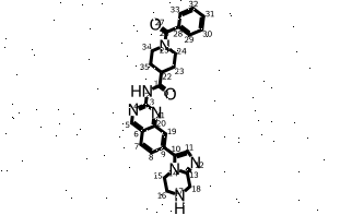 O=C(Nc1ncc2ccc(-c3cnc4n3CCNC4)cc2n1)C1CCN(C(=O)c2ccccc2)CC1